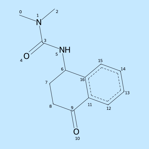 CN(C)C(=O)NC1CCC(=O)c2ccccc21